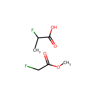 CC(F)C(=O)O.COC(=O)CF